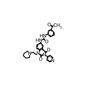 CC(=O)c1cccc(NC(=O)Nc2ccc3c(c2)c(=O)n(-c2ccncc2)c(=O)n3CCN2CCCCC2)c1